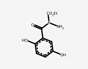 CCOC(=O)N(N)C(=O)c1cc(O)ccc1O